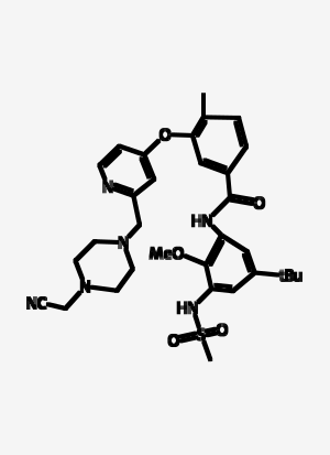 COc1c(NC(=O)c2ccc(C)c(Oc3ccnc(CN4CCN(CC#N)CC4)c3)c2)cc(C(C)(C)C)cc1NS(C)(=O)=O